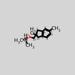 Cc1ccc2c(c1)CC(C)(CO[SiH](C)C)C2